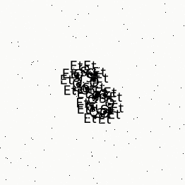 CC[Si]1(CC)O[Si](CC)(CC)O[Si](CC)(CC)O[Si](CC)(S[Si]2(CC)O[Si](CC)(CC)O[Si](CC)(CC)O[Si](CC)(CC)O[Si](CC)(CC)O2)O[Si](CC)(CC)O1